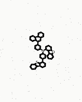 c1cc(-c2cc3ccccc3c3ccccc23)cc(N(c2ccc(-c3cccc4c3sc3ccccc34)cc2)c2cccc3oc4ccccc4c23)c1